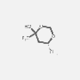 C[C@@H]1CC(O)(C(F)(F)F)OCO1